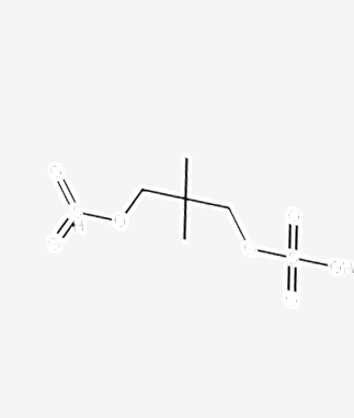 CC(C)(CO[SH](=O)=O)COS(=O)(=O)O